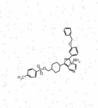 Cc1ccc(S(=O)(=O)OCC2CCC(C3=C4C=NC=C[N+]4(N)C(c4cccc(OCc5ccccc5)c4)=N3)CC2)cc1